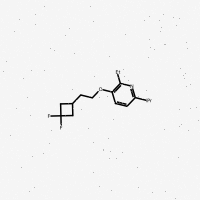 CCc1nc(C(C)C)ccc1OCCC1CC(F)(F)C1